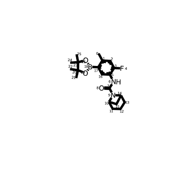 Cc1cc(F)c(NC(=O)N2C3CCCC2C3)cc1B1OC(C)(C)C(C)(C)O1